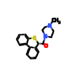 CN1CCN(C(=O)C2Sc3ccccc3-c3ccccc32)CC1